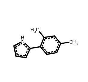 Cc1ccc(-c2ccc[nH]2)c(C)c1